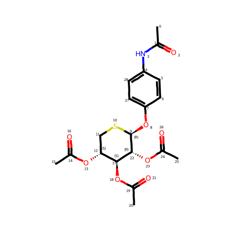 CC(=O)Nc1ccc(O[C@@H]2SC[C@@H](OC(C)=O)[C@H](OC(C)=O)[C@H]2OC(C)=O)cc1